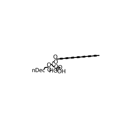 CC#CC#CC#CC#CC#CC#CC#CC(=O)OC[C@@H](COP(=O)(O)O)OC(=O)CCCCCCCCCCC